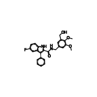 COc1cc(CNC(=O)c2[nH]c3ccc(F)cc3c2-c2ccccc2)cc(CO)c1OC